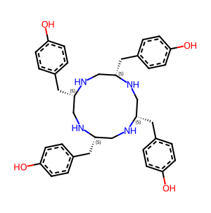 Oc1ccc(C[C@H]2CN[C@@H](Cc3ccc(O)cc3)CN[C@@H](Cc3ccc(O)cc3)CN[C@@H](Cc3ccc(O)cc3)CN2)cc1